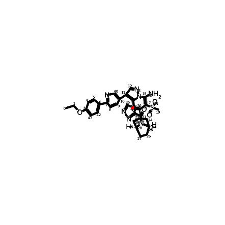 CCOc1ccc(-c2ccc(-c3cnn4c(N)c(S(C)(=O)=O)c([C@H]5C[C@H]6CC[C@@H](C5)N6C(=O)c5nnc[nH]5)nc34)cn2)cc1